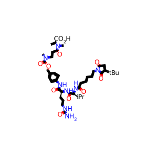 CC(C)[C@H](NC(=O)CCCCCN1C(=O)CC(C(C)(C)C)C1=O)C(=O)N[C@@H](CCCNC(N)=O)C(=O)Nc1ccc(COC(=O)N(C)CCC(=O)N(C)[C@@H](C)C(=O)O)cc1